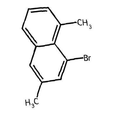 Cc1cc(Br)c2c(C)cccc2c1